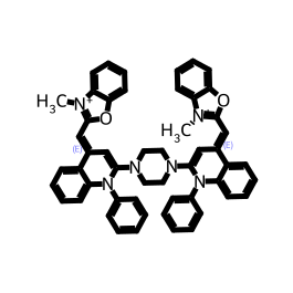 C[n+]1c(/C=C2\C=C(N3CCN(C4=C/C(=C\c5oc6ccccc6[n+]5C)c5ccccc5N4c4ccccc4)CC3)N(c3ccccc3)c3ccccc32)oc2ccccc21